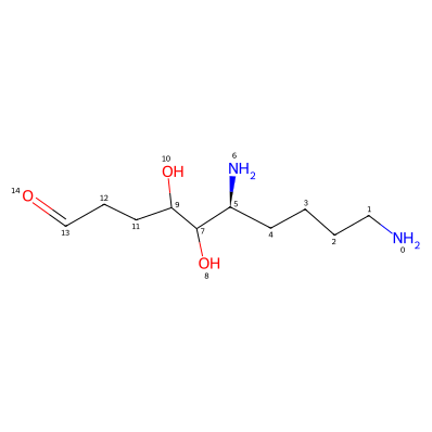 NCCCC[C@H](N)C(O)C(O)CCC=O